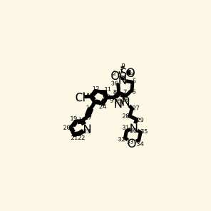 CS(=O)(=O)N1CCc2c(c(-c3ccc(Cl)c(C#Cc4ccccn4)c3)nn2CCCN2CCOCC2)C1